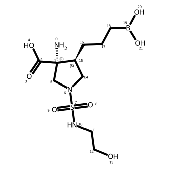 N[C@@]1(C(=O)O)CN(S(=O)(=O)NCCO)C[C@@H]1CCCB(O)O